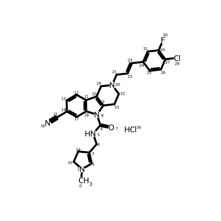 CN1C=C(CNC(=O)n2c3c(c4ccc(C#N)cc42)CN(C/C=C/c2ccc(Cl)c(F)c2)CC3)CC1.Cl